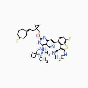 C=Nc1sc2c(F)ccc(-c3cc4nc(OCC5(C/C=C6/CCCC(F)CC6)CC5)nc(NCC5(N(C)C)CCC5)c4cn3)c2c1C#N